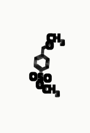 COCc1ccc(S(=O)(=O)OC)cc1